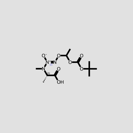 CC(O/N=[N+](\[O-])N(C)[C@@H](C)C(=O)O)OC(=O)OC(C)(C)C